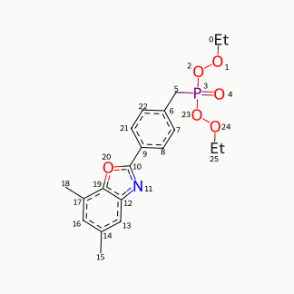 CCOOP(=O)(Cc1ccc(-c2nc3cc(C)cc(C)c3o2)cc1)OOCC